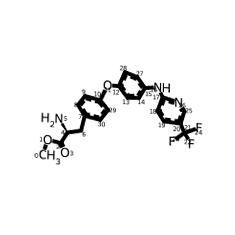 COC(=O)[C@@H](N)Cc1ccc(Oc2ccc(Nc3ccc(C(F)(F)F)cn3)cc2)cc1